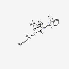 C=CC(=O)OCCOC(=O)/C(=C/C=C1\Oc2ccccc2N1C)S(C)(=O)=O